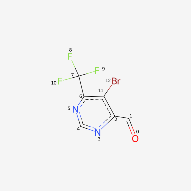 O=Cc1ncnc(C(F)(F)F)c1Br